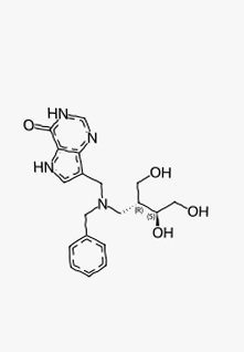 O=c1[nH]cnc2c(CN(Cc3ccccc3)C[C@H](CO)[C@H](O)CO)c[nH]c12